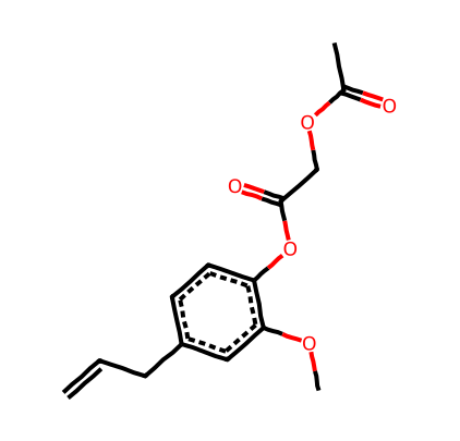 C=CCc1ccc(OC(=O)COC(C)=O)c(OC)c1